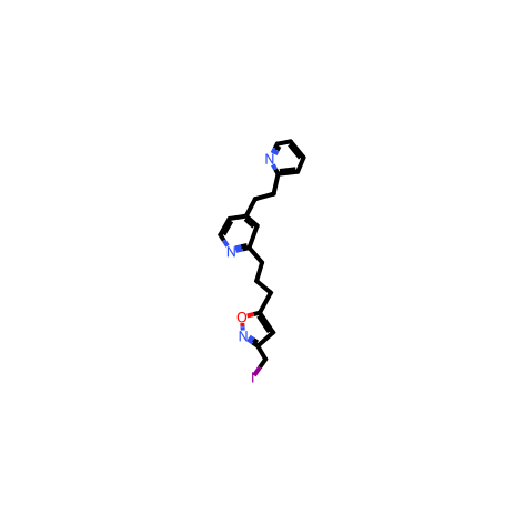 ICc1cc(CCCc2cc(CCc3ccccn3)ccn2)on1